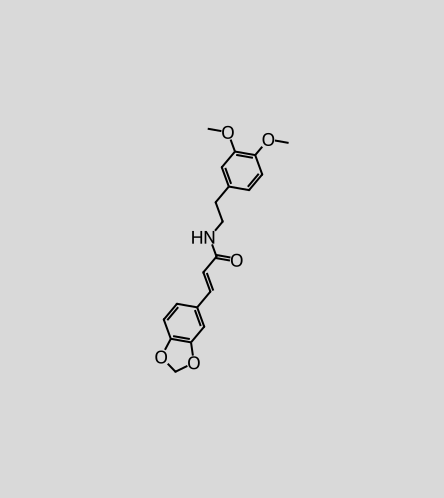 COc1ccc(CCNC(=O)/C=C/c2ccc3c(c2)OCO3)cc1OC